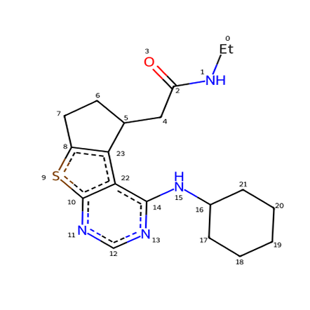 CCNC(=O)CC1CCc2sc3ncnc(NC4CCCCC4)c3c21